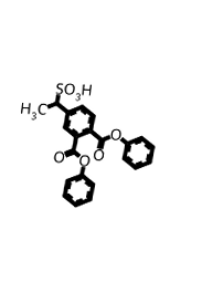 CC(c1ccc(C(=O)Oc2ccccc2)c(C(=O)Oc2ccccc2)c1)S(=O)(=O)O